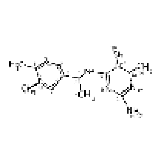 Cc1ccc(C(C)NC2=NC(N)=NC(C)N2S)cc1Cl